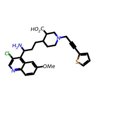 COc1ccc2ncc(Cl)c(C(N)CCC3CCN(CC#Cc4cccs4)CC3C(=O)O)c2c1